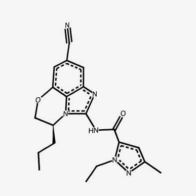 CCC[C@H]1COc2cc(C#N)cc3nc(NC(=O)c4cc(C)nn4CC)n1c23